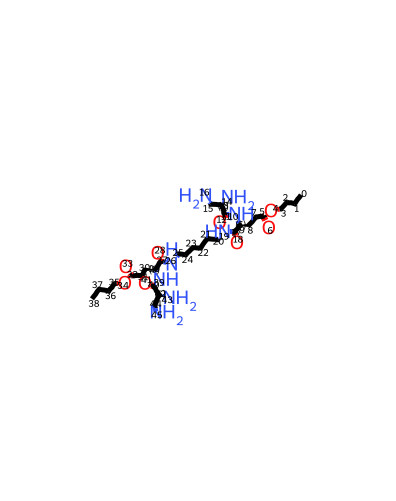 CCCCOC(=O)CC[C@H](NC(=O)[C@@H](N)CN)C(=O)NCCCCCCNC(=O)[C@H](CCC(=O)OCCCC)NC(=O)[C@@H](N)CN